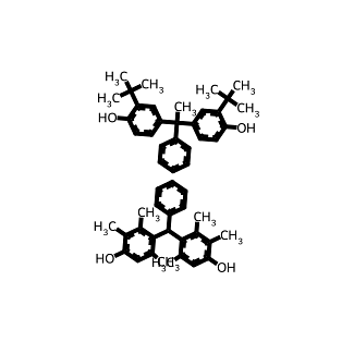 CC(C)(C)c1cc(C(C)(c2ccccc2)c2ccc(O)c(C(C)(C)C)c2)ccc1O.Cc1cc(O)c(C)c(C)c1C(c1ccccc1)c1c(C)cc(O)c(C)c1C